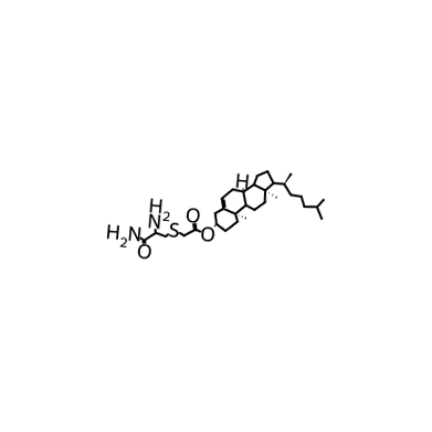 CC(C)CCC[C@H](C)C1CCC2[C@@H]3CC=C4C[C@@H](OC(=O)CSCC(N)C(N)=O)CC[C@]4(C)C3CC[C@@]21C